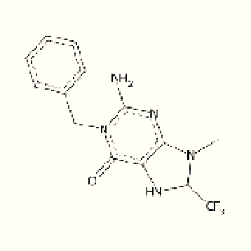 CN1c2nc(N)n(Cc3ccccc3)c(=O)c2NC1C(F)(F)F